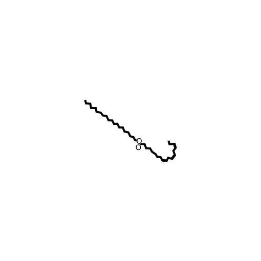 CC/C=C\C/C=C\C/C=C\CCCCCCCC(=O)OCCCCCCCCCCCCCCCCCCCC